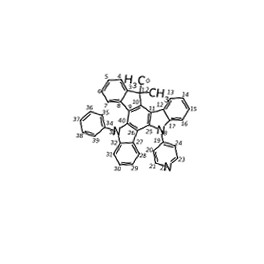 CC1(C)c2ccccc2-c2c1c1c3ccccc3n(-c3ccncc3)c1c1c3ccccc3n(-c3ccccc3)c21